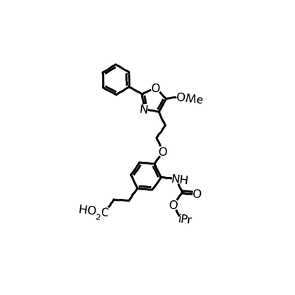 COc1oc(-c2ccccc2)nc1CCOc1ccc(CCC(=O)O)cc1NC(=O)OC(C)C